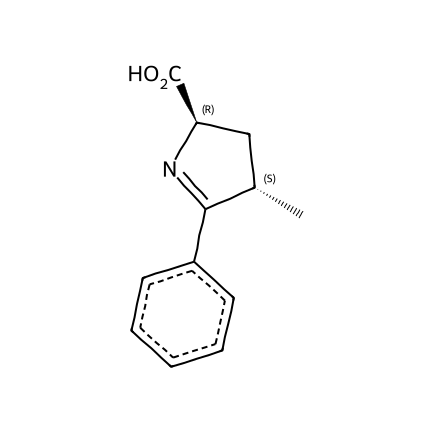 C[C@H]1C[C@H](C(=O)O)N=C1c1ccccc1